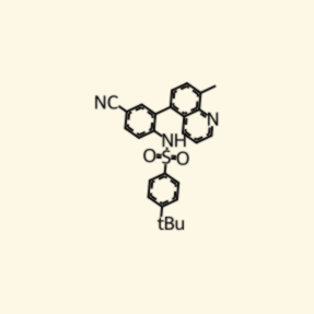 Cc1ccc(-c2cc(C#N)ccc2NS(=O)(=O)c2ccc(C(C)(C)C)cc2)c2cccnc12